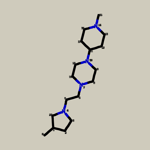 CC1CCN(CCN2CCN(C3CCN(C)CC3)CC2)C1